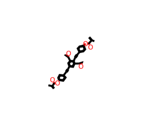 C=C(C)C(=O)Oc1ccc(C#Cc2cc(C3CO3)c(C#Cc3ccc(OC(=O)C(=C)C)cc3)c(C3CO3)c2)cc1